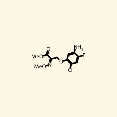 CON=C(COc1cc(N)c(F)cc1Cl)C(=O)OC